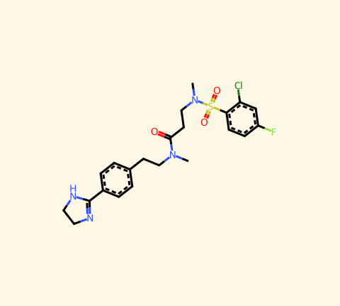 CN(CCc1ccc(C2=NCCN2)cc1)C(=O)CCN(C)S(=O)(=O)c1ccc(F)cc1Cl